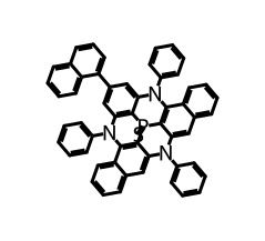 S=P12c3c4cc(-c5cccc6ccccc56)cc3N(c3ccccc3)c3c1c(cc1ccccc31)N(c1ccccc1)c1cc3ccccc3c(c12)N4c1ccccc1